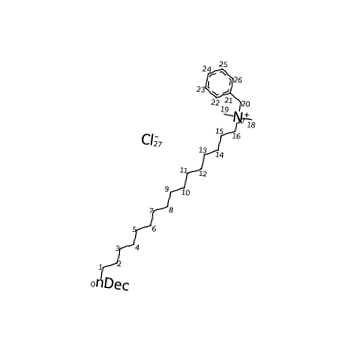 CCCCCCCCCCCCCCCCCCCCCCCCCC[N+](C)(C)Cc1ccccc1.[Cl-]